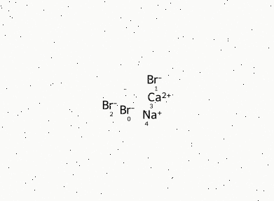 [Br-].[Br-].[Br-].[Ca+2].[Na+]